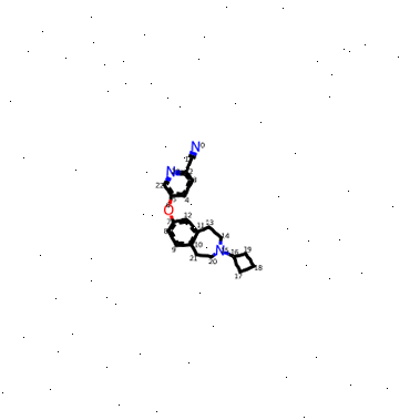 N#Cc1ccc(Oc2ccc3c(c2)CCN(C2CCC2)CC3)cn1